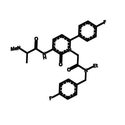 CCN(Cc1ccc(F)cc1)C(=O)Cn1c(-c2ccc(F)cc2)ccc(NC(=O)C(C)NC)c1=O